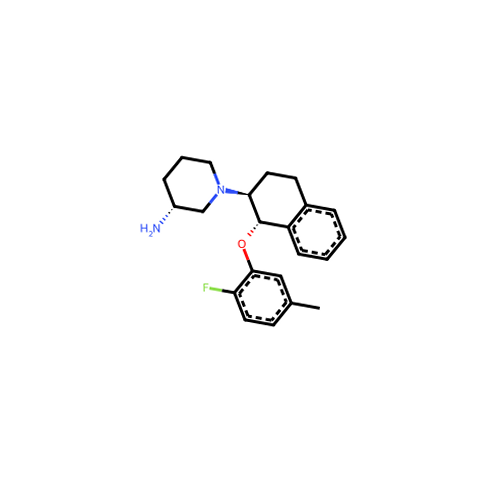 Cc1ccc(F)c(O[C@H]2c3ccccc3CC[C@@H]2N2CCC[C@@H](N)C2)c1